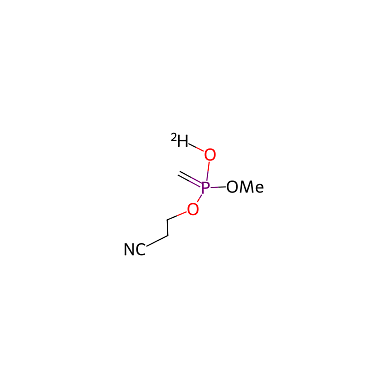 [2H]OP(=C)(OC)OCCC#N